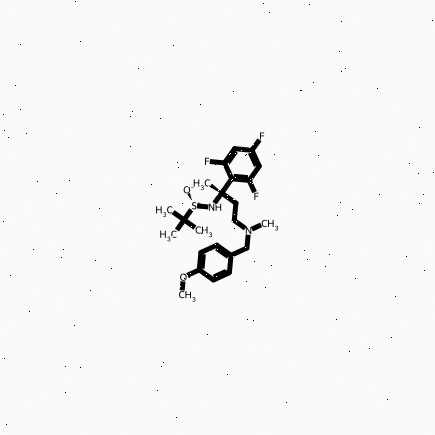 COc1ccc(CN(C)CC[C@](C)(N[S@@+]([O-])C(C)(C)C)c2c(F)cc(F)cc2F)cc1